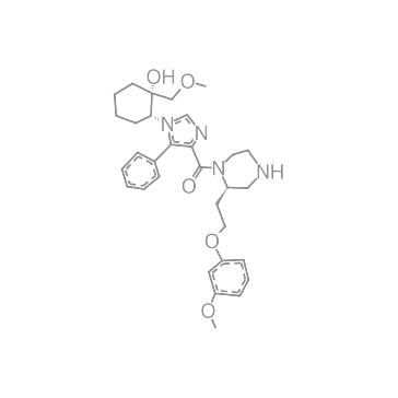 COC[C@]1(O)CCCC[C@H]1n1cnc(C(=O)N2CCNC[C@H]2CCOc2cccc(OC)c2)c1-c1ccccc1